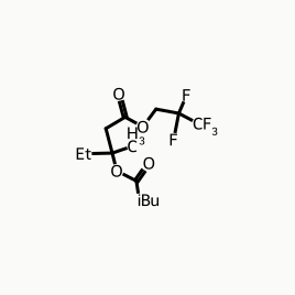 CCC(C)C(=O)OC(C)(CC)CC(=O)OCC(F)(F)C(F)(F)F